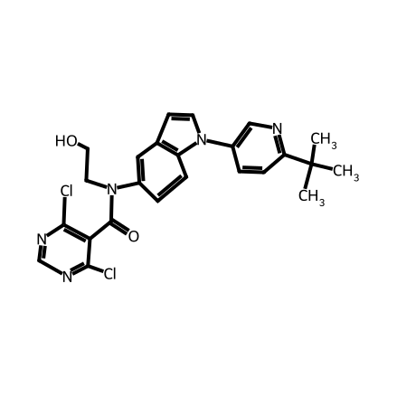 CC(C)(C)c1ccc(-n2ccc3cc(N(CCO)C(=O)c4c(Cl)ncnc4Cl)ccc32)cn1